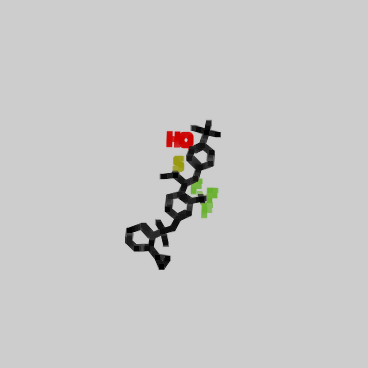 CC(=S)C(Cc1ccc(C(C)(C)C)c(O)c1)c1ccc(CC(C)(C)c2ccccc2C2CC2)cc1C(F)(F)F